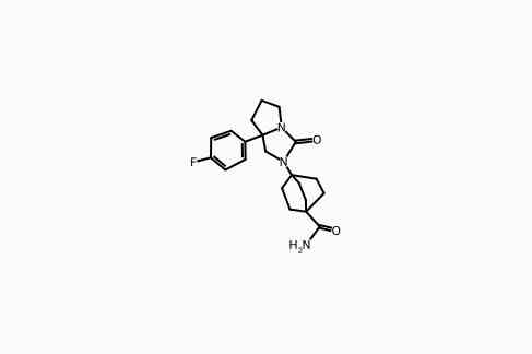 NC(=O)C12CCC(N3CC4(c5ccc(F)cc5)CCCN4C3=O)(CC1)CC2